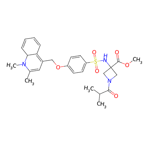 COC(=O)C1(NS(=O)(=O)c2ccc(OCC3=C4C=CC=CC4N(C)C(C)=C3)cc2)CN(C(=O)C(C)C)C1